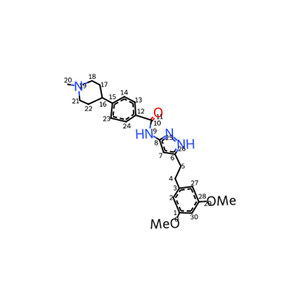 COc1cc(CCc2cc(NC(=O)c3ccc(C4CCN(C)CC4)cc3)n[nH]2)cc(OC)c1